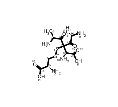 C[C@H](N)C(=O)C(SSC[C@H](N)C(=O)O)(C(=O)[C@H](C)N)[C@H](N)C(=O)O